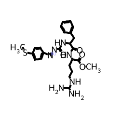 COC(=O)C(CCCNC(N)N)NC(=O)C(Cc1ccccc1)NC(=O)/N=N/c1ccc(SC)cc1